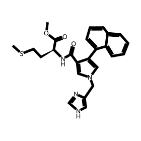 COC(=O)[C@H](CCSC)NC(=O)c1cn(Cc2c[nH]cn2)cc1-c1cccc2ccccc12